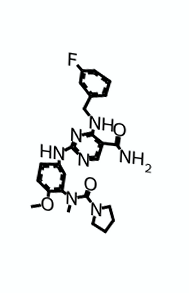 COc1ccc(Nc2ncc(C(N)=O)c(NCc3cccc(F)c3)n2)cc1N(C)C(=O)N1CCCC1